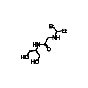 CCC(CC)NCC(=O)NC(CO)CO